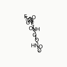 COCC(=O)NCCOCCOCCNC(=O)CCCN1C(=O)C=C(SF)C1=O